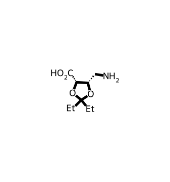 CCC1(CC)O[C@@H](CN)[C@@H](C(=O)O)O1